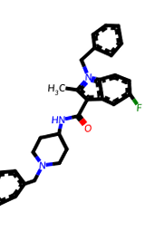 Cc1c(C(=O)NC2CCN(Cc3ccccc3)CC2)c2cc(F)ccc2n1Cc1ccccc1